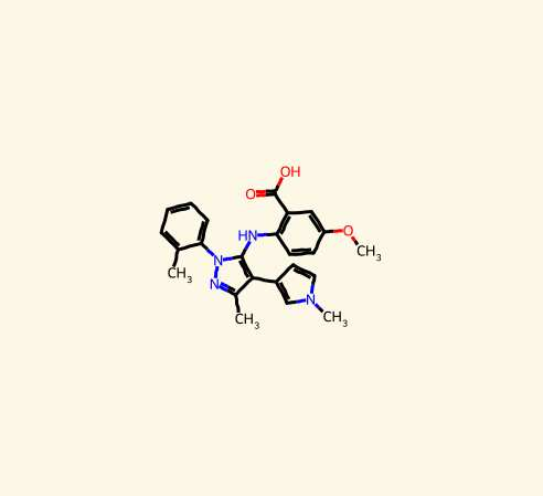 COc1ccc(Nc2c(-c3ccn(C)c3)c(C)nn2-c2ccccc2C)c(C(=O)O)c1